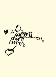 C=CCNCC(=O)N(CC=O)[C@H](CN(C)Cc1cccc(N)c1N(N)CC=O)NC(=O)NCc1ccccc1